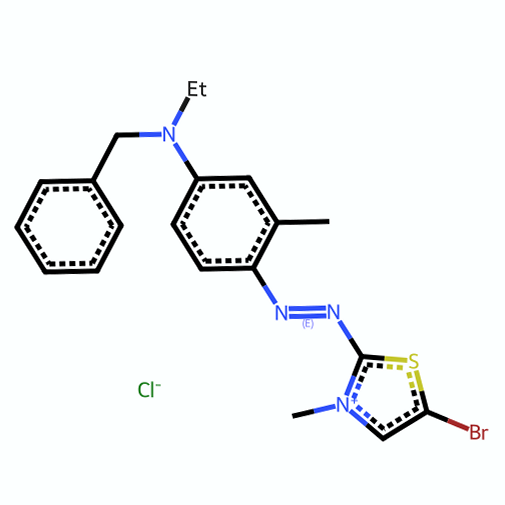 CCN(Cc1ccccc1)c1ccc(/N=N/c2sc(Br)c[n+]2C)c(C)c1.[Cl-]